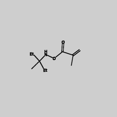 C=C(C)C(=O)ONC(C)(CC)CC